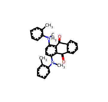 Cc1ccccc1N(C)c1ccc(N(C)c2ccccc2C)c2c1C(=O)c1ccccc1C2=O